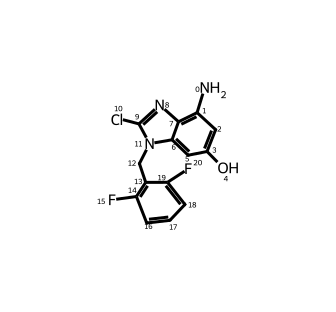 Nc1cc(O)cc2c1nc(Cl)n2Cc1c(F)cccc1F